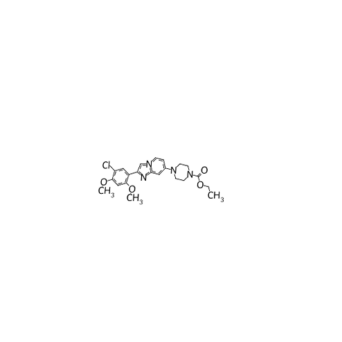 CCOC(=O)N1CCN(c2ccn3cc(-c4cc(Cl)c(OC)cc4OC)nc3c2)CC1